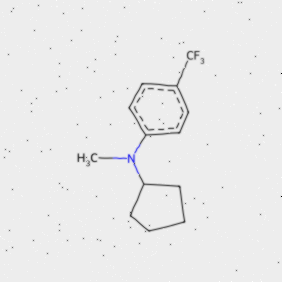 CN(c1ccc(C(F)(F)F)cc1)C1CCCC1